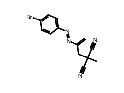 C=C(CC(C)(C#N)C#N)N=Nc1ccc(Br)cc1